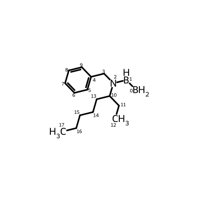 BBN(Cc1ccccc1)C(CC)CCCCC